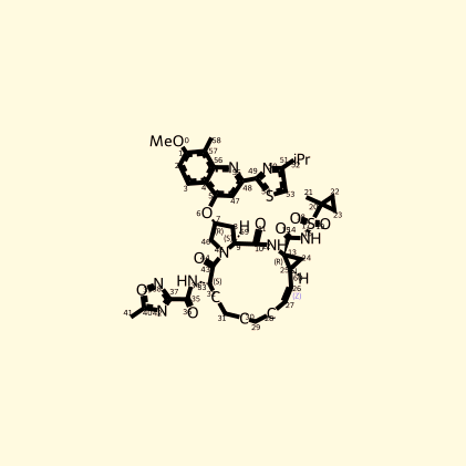 COc1ccc2c(O[C@@H]3C[C@H]4C(=O)N[C@]5(C(=O)NS(=O)(=O)C6(C)CC6)C[C@H]5/C=C\CCCCC[C@H](NC(=O)c5noc(C)n5)C(=O)N4C3)cc(-c3nc(C(C)C)cs3)nc2c1C